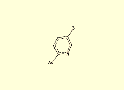 CC(=O)c1ccc([S])cn1